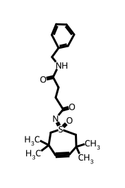 CC1(C)C#CC(C)(C)CS(=O)(=NC(=O)CCC(=O)NCc2ccccc2)C1